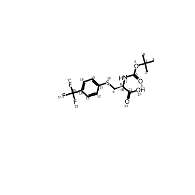 CC(C)(C)OC(=O)N[C@H](CSc1ccc(C(F)(F)F)cc1)C(=O)O